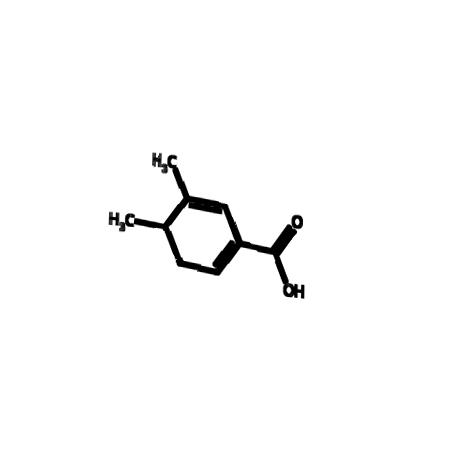 CC1=CC(C(=O)O)=CCC1C